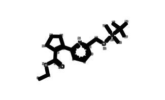 CCOC(=O)C1=C(c2cccc(CO[Si](C)(C)C(C)(C)C)n2)CCC1